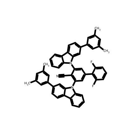 Cc1cc(C)cc(-c2ccc3c4ccccc4n(-c4cc(-c5c(F)cccc5F)cc(-n5c6ccccc6c6ccc(-c7cc(C)cc(C)c7)cc65)c4C#N)c3c2)c1